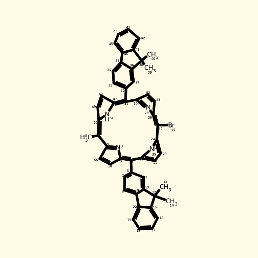 Cc1c2nc(c(-c3ccc4c(c3)C(C)(C)c3ccccc3-4)c3ccc([nH]3)c(Br)c3nc(c(-c4ccc5c(c4)C(C)(C)c4ccccc4-5)c4ccc1[nH]4)C=C3)C=C2